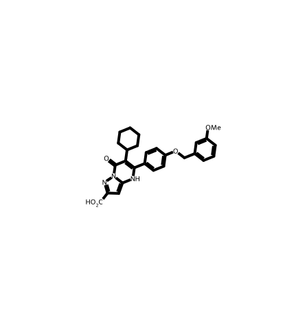 COc1cccc(COc2ccc(-c3[nH]c4cc(C(=O)O)nn4c(=O)c3C3CCCCC3)cc2)c1